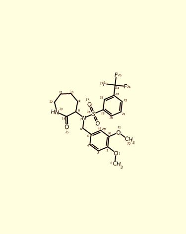 COc1ccc(CN(C2CCCCNC2=O)S(=O)(=O)c2cccc(C(F)(F)F)c2)cc1OC